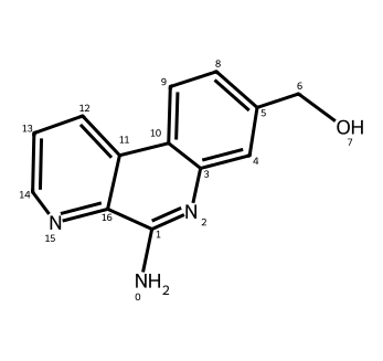 Nc1nc2cc(CO)ccc2c2cccnc12